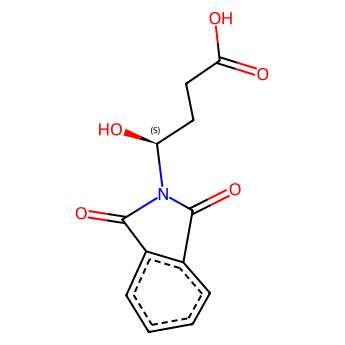 O=C(O)CC[C@H](O)N1C(=O)c2ccccc2C1=O